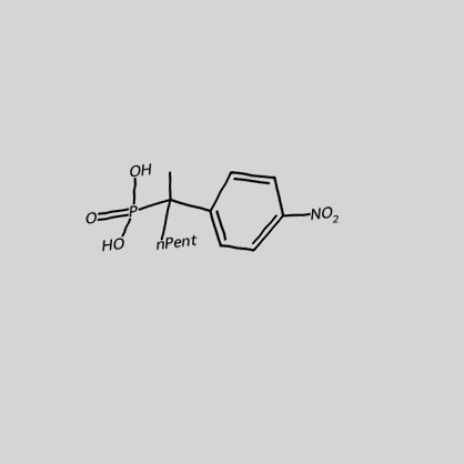 CCCCCC(C)(c1ccc([N+](=O)[O-])cc1)P(=O)(O)O